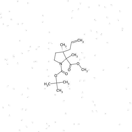 C=CC[C@]1(C)CCN(C(=O)OC(C)(C)C)C1(C)C(=O)OC